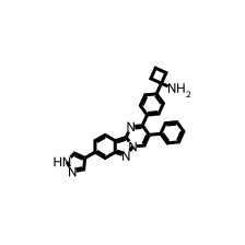 NC1(c2ccc(-c3nc4c5ccc(-c6cn[nH]c6)cc5nn4cc3-c3ccccc3)cc2)CCC1